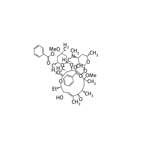 CC[C@H]1OC(=O)[C@H](C)[C@@H](OC2C[C@@](C)(OC)[C@@H](OC(=O)c3ccccc3)[C@H](C)O2)[C@H](C)[C@@H](OC2O[C@H](C)C[C@H](N(C)C)[C@H]2OC(=O)c2ccccc2)[C@@](C)(OC)C[C@@H](C)C(=O)/C(C)=C/[C@@H]1O